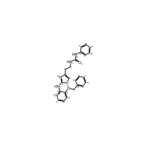 O=C(NCCc1csc(Nc2ncccc2OCc2ccccc2)n1)Nc1ccccc1